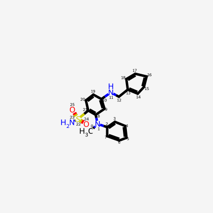 CN(c1ccccc1)c1cc(NCc2ccccc2)ccc1S(N)(=O)=O